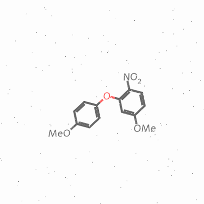 COc1ccc(Oc2cc(OC)ccc2[N+](=O)[O-])cc1